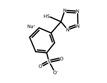 O=S(=O)([O-])c1cccc(C2(S)N=NN=N2)c1.[Na+]